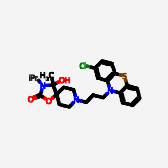 CC(C)N1C(=O)OC2(CCN(CCCN3c4ccccc4Sc4ccc(Cl)cc43)CC2)C1(C)O